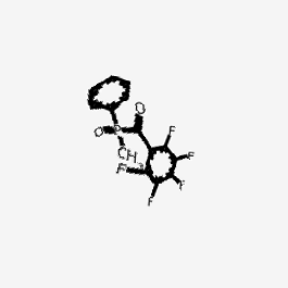 CP(=O)(C(=O)c1c(F)c(F)c(F)c(F)c1F)c1ccccc1